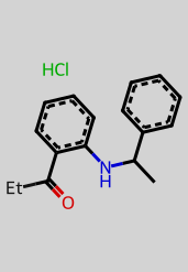 CCC(=O)c1ccccc1NC(C)c1ccccc1.Cl